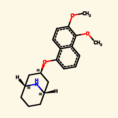 COc1ccc2c(O[C@@H]3C[C@H]4CCC[C@@H](C3)N4)cccc2c1OC